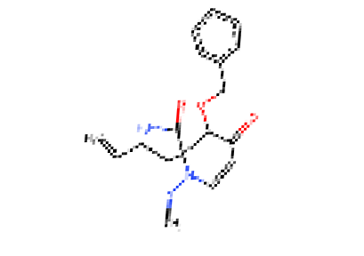 C=CCCC1(C(N)=O)C(OCc2ccccc2)C(=O)C=CN1N=C